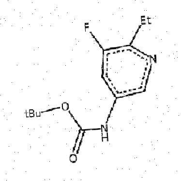 CCc1ncc(NC(=O)OC(C)(C)C)cc1F